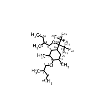 CCC(C)COC1C(C)CC(C(OCC(C)CC)(C(F)(F)F)C(F)(F)F)CC1C